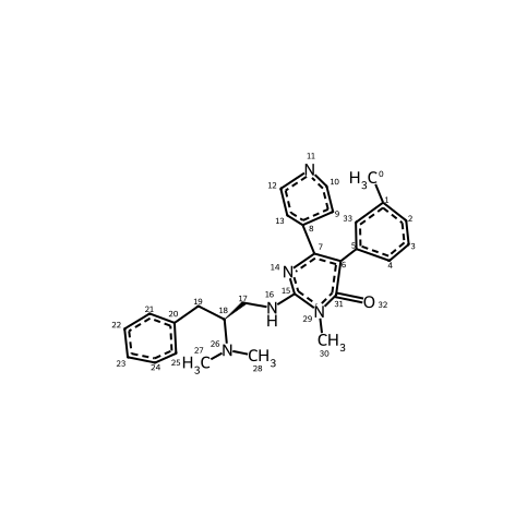 Cc1cccc(-c2c(-c3ccncc3)nc(NC[C@H](Cc3ccccc3)N(C)C)n(C)c2=O)c1